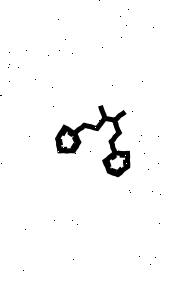 C[C](CCc1ccccc1)C(C)CCc1ccccc1